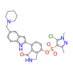 Cc1nn(C)c(Cl)c1S(=O)(=O)Oc1ccc(-c2cc3cc(CN4CCCCC4)ccc3[nH]2)c2c1CNC2=O